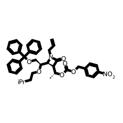 C=CCN1C(=O)C([C@@H](C)OC(=O)OCc2ccc([N+](=O)[O-])cc2)[C@H]1[C@H](COC(c1ccccc1)(c1ccccc1)c1ccccc1)OCCC(C)C